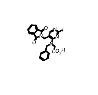 O=C(O)CN(Cc1ccccc1)c1nc(I)ncc1CN1C(=O)c2ccccc2C1=O